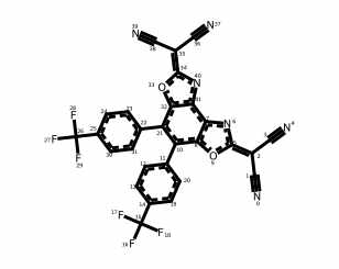 N#CC(C#N)=c1nc2c(o1)c(-c1ccc(C(F)(F)F)cc1)c(-c1ccc(C(F)(F)F)cc1)c1oc(=C(C#N)C#N)nc12